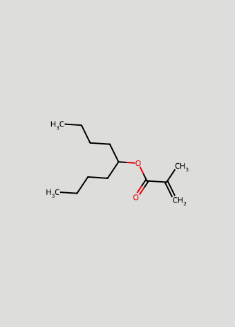 C=C(C)C(=O)OC(CCCC)CCCC